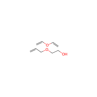 C=CCOCCO.C=COC=C